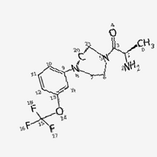 C[C@@H](N)C(=O)N1CCN(c2cccc(OC(F)(F)F)c2)CC1